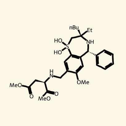 CCCC[C@]1(CC)CS(O)(O)c2cc(CN[C@H](CC(=O)OC)C(=O)OC)c(OC)cc2[C@@H](c2ccccc2)N1